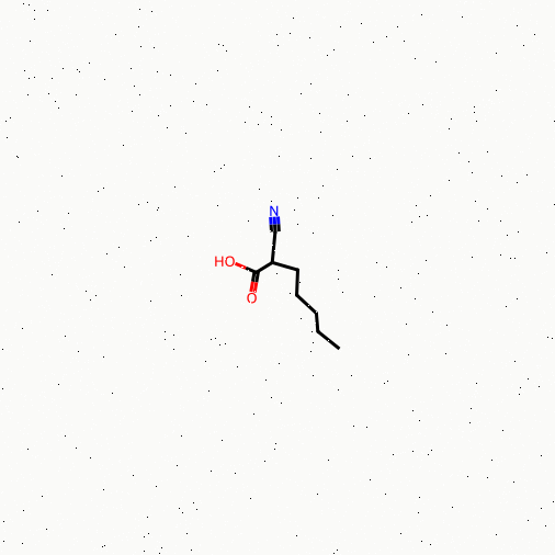 CCCCCC(C#N)C(=O)O